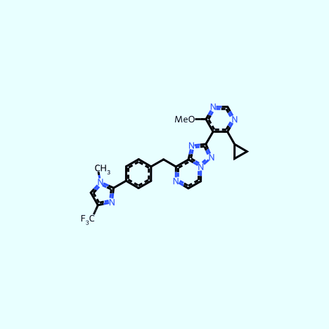 COc1ncnc(C2CC2)c1-c1nc2c(Cc3ccc(-c4nc(C(F)(F)F)cn4C)cc3)nccn2n1